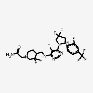 NC(=O)CN1CCC(CNc2ncnc(N3CC(F)(F)C[C@@H]3c3ccc(C(F)(F)F)cc3F)c2F)C(F)(F)C1